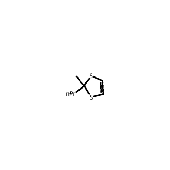 CCCC1(C)SC=CS1